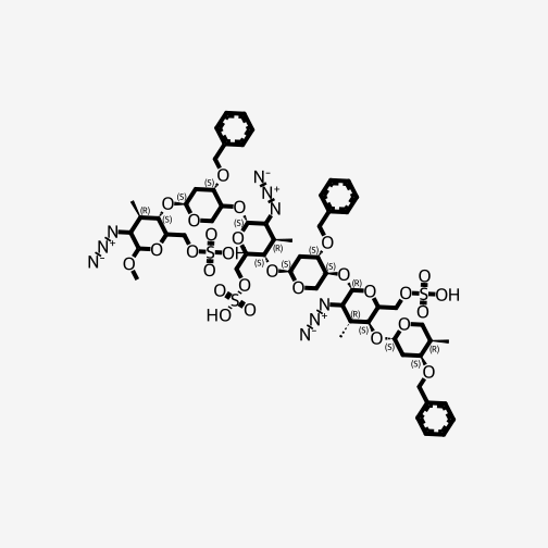 COC1OC(COS(=O)(=O)O)[C@@H](O[C@H]2C[C@H](OCc3ccccc3)C(O[C@H]3OC(COS(=O)(=O)O)[C@@H](O[C@H]4C[C@H](OCc5ccccc5)[C@@H](O[C@@H]5OC(COS(=O)(=O)O)[C@@H](O[C@H]6C[C@H](OCc7ccccc7)[C@H](C)CO6)[C@H](C)C5N=[N+]=[N-])CO4)[C@H](C)C3N=[N+]=[N-])CO2)[C@H](C)C1N=[N+]=[N-]